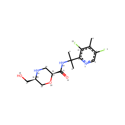 Cc1c(F)cnc(C(C)(C)NC(=O)[C@@H]2CN[C@H](CO)CO2)c1F